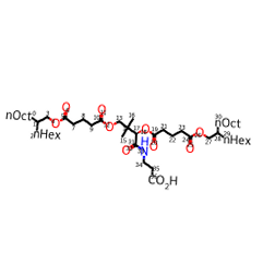 CCCCCCCCC(CCCCCC)COC(=O)CCCC(=O)OCC(C)(C)[C@@H](OC(=O)CCCC(=O)OCC(CCCCCC)CCCCCCCC)C(=O)NCCC(=O)O